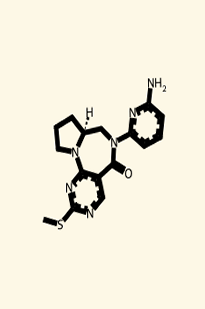 CSc1ncc2c(n1)N1CCC[C@H]1CN(c1cccc(N)n1)C2=O